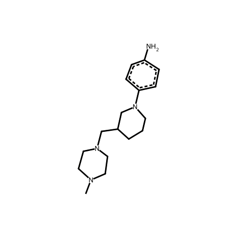 CN1CCN(CC2CCCN(c3ccc(N)cc3)C2)CC1